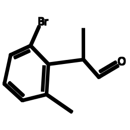 Cc1cccc(Br)c1C(C)C=O